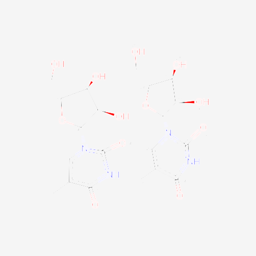 Cc1cn([C@@H]2O[C@H](CO)[C@@H](O)[C@H]2O)c(=O)[nH]c1=O.Cc1cn([C@@H]2O[C@H](CO)[C@@H](O)[C@H]2O)c(=O)[nH]c1=O